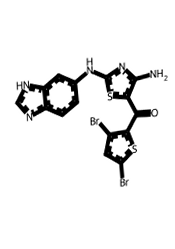 Nc1nc(Nc2ccc3nc[nH]c3c2)sc1C(=O)c1sc(Br)cc1Br